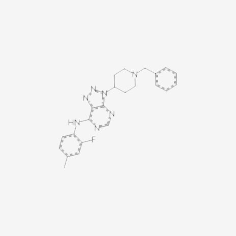 Cc1ccc(Nc2ncnc3c2nnn3C2CCN(Cc3ccccc3)CC2)c(F)c1